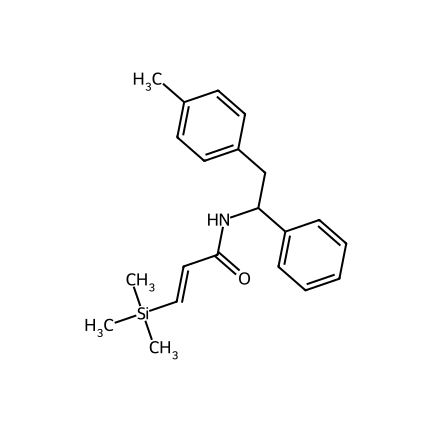 Cc1ccc(CC(NC(=O)C=C[Si](C)(C)C)c2ccccc2)cc1